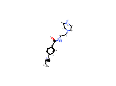 CC(C)(C)/C=C/c1ccc(C(=O)NCCN2CCNCC2)cc1